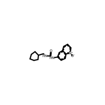 O=C(NCC1CCCCC1)Nc1ccc2c(ccc[n+]2[O-])c1